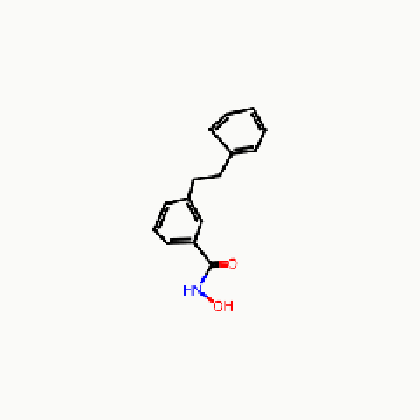 O=C(NO)c1cccc(CCc2ccccc2)c1